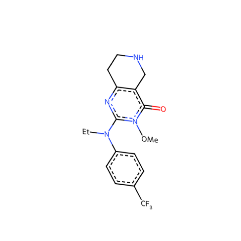 CCN(c1ccc(C(F)(F)F)cc1)c1nc2c(c(=O)n1OC)CNCC2